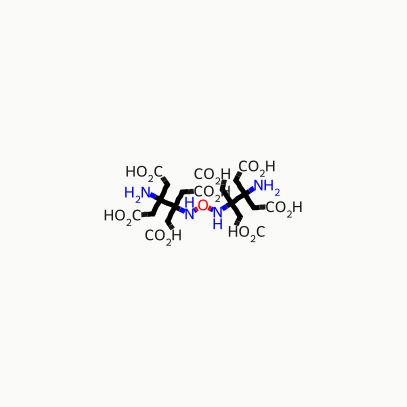 NC(CC(=O)O)(CC(=O)O)C(CC(=O)O)(CC(=O)O)NONC(CC(=O)O)(CC(=O)O)C(N)(CC(=O)O)CC(=O)O